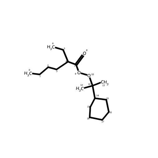 CCCCC(CC)C(=O)OOC(C)(C)C1CCCCC1